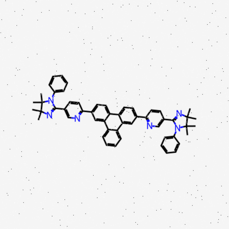 CC1(C)N=C(c2ccc(-c3ccc4c5ccc(-c6ccc(C7=NC(C)(C)C(C)(C)N7c7ccccc7)cn6)cc5c5ccccc5c4c3)nc2)N(c2ccccc2)C1(C)C